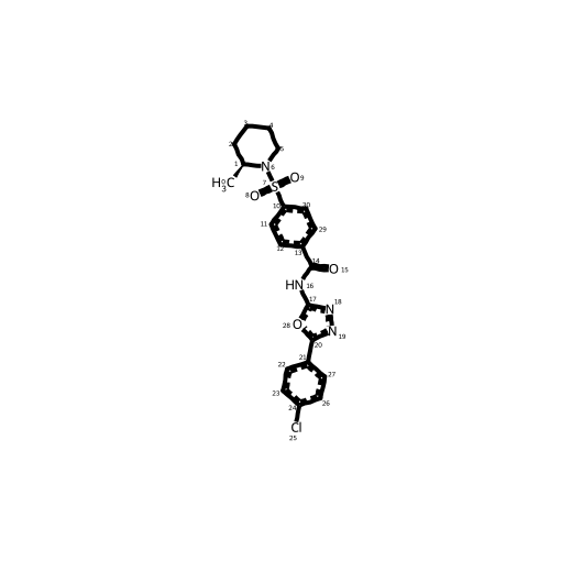 C[C@H]1CCCCN1S(=O)(=O)c1ccc(C(=O)Nc2nnc(-c3ccc(Cl)cc3)o2)cc1